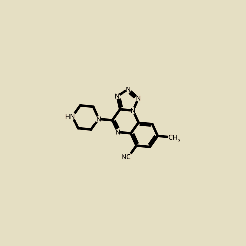 Cc1cc(C#N)c2nc(N3CCNCC3)c3nnnn3c2c1